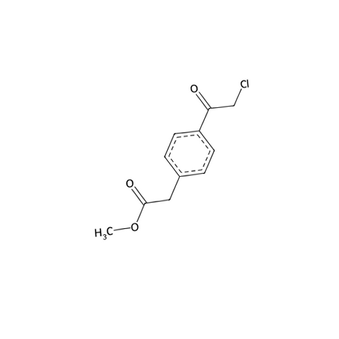 COC(=O)Cc1ccc(C(=O)CCl)cc1